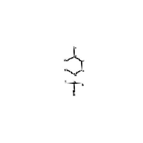 [CH2]C1CCC(C(C)(C)F)CC1